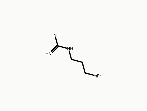 CCCCCCNC([NH])=N